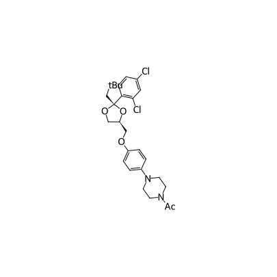 CC(=O)N1CCN(c2ccc(OC[C@H]3CO[C@](CC(C)(C)C)(c4ccc(Cl)cc4Cl)O3)cc2)CC1